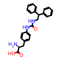 N[C@@H](Cc1ccc(NC(=O)NCC(c2ccccc2)c2ccccc2)cc1)C(=O)O